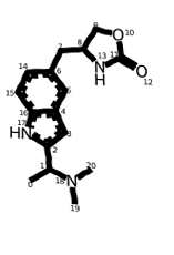 CC(c1cc2cc(CC3COC(=O)N3)ccc2[nH]1)N(C)C